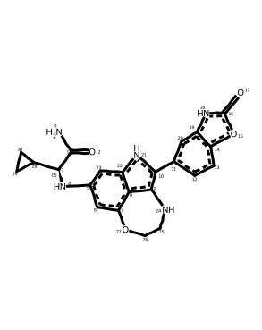 NC(=O)[C@@H](Nc1cc2c3c(c(-c4ccc5oc(=O)[nH]c5c4)[nH]c3c1)NCCO2)C1CC1